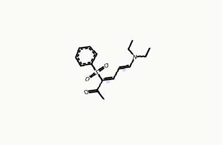 CCN(/C=C/C=C(/C(C)=O)S(=O)(=O)c1ccccc1)CC